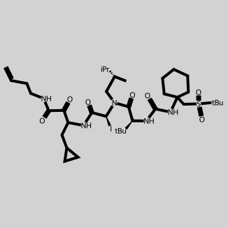 C=CCCNC(=O)C(=O)C(CC1CC1)NC(=O)[C@H](I)N(C[C@@H](C)C(C)C)C(=O)[C@@H](NC(=O)NC1(CS(=O)(=O)C(C)(C)C)CCCCC1)C(C)(C)C